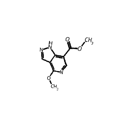 COC(=O)c1cnc(OC)c2cn[nH]c12